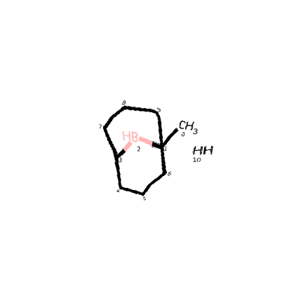 CC12BC(CCC1)CCC2.[HH]